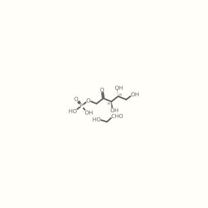 O=C(COP(=O)(O)O)[C@H](O)[C@H](O)CO.O=CCO